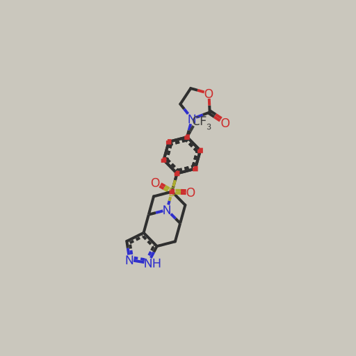 O=C1OCCN1c1ccc(C2CC3Cc4[nH]ncc4C(C2)N3S(=O)(=O)c2ccc(C(F)(F)F)cc2)cc1